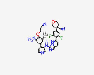 C[C@H]1C[C@@H](c2ccncc2Nc2ncc3ccc(-c4c(F)cc(C5(C#N)CCOCC5)cc4F)nn23)C[C@@H](N)[C@H]1OCCC#N